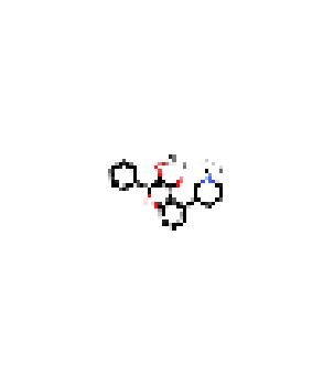 COc1c(-c2ccccc2)oc2cccc(C3CCCN(C)C3)c2c1=O